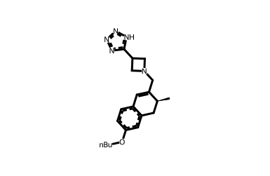 CCCCOc1ccc2c(c1)C[C@H](C)C(CN1CC(c3nnn[nH]3)C1)=C2